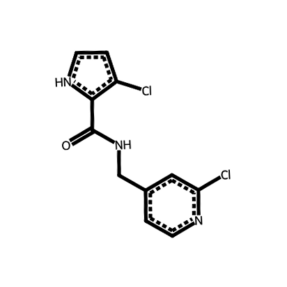 O=C(NCc1ccnc(Cl)c1)c1[nH]ccc1Cl